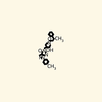 Cc1ccc(-n2ncc3c(=O)n(CC4(O)CCN(C(=O)C[C@@H](C)c5ccccc5)CC4)cnc32)cc1